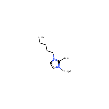 CCCCCCCCCCCCCC[n+]1ccn(CCCCCCC)c1CCCC